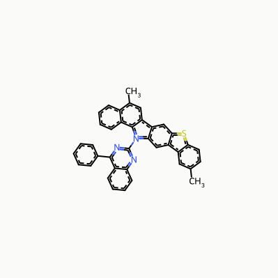 Cc1ccc2sc3cc4c5cc(C)c6ccccc6c5n(-c5nc(-c6ccccc6)c6ccccc6n5)c4cc3c2c1